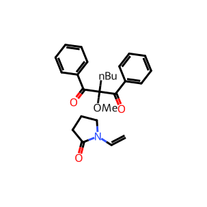 C=CN1CCCC1=O.CCCCC(OC)(C(=O)c1ccccc1)C(=O)c1ccccc1